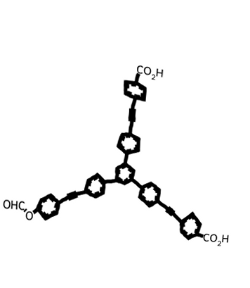 O=COc1ccc(C#Cc2ccc(-c3cc(-c4ccc(C#Cc5ccc(C(=O)O)cc5)cc4)cc(-c4ccc(C#Cc5ccc(C(=O)O)cc5)cc4)c3)cc2)cc1